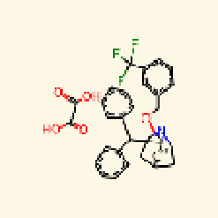 FC(F)(F)c1cccc(CO[C@]2(C(c3ccccc3)c3ccccc3)CC3CCN2CC3)c1.O=C(O)C(=O)O